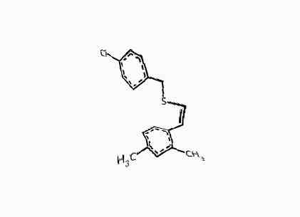 Cc1ccc(/C=C\SCc2ccc(Cl)cc2)c(C)c1